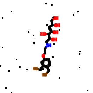 OC[C@@H](O)C=C(O)[C@H](O)[C@@H](O)CNCCOc1ccc(CS)c(CS)c1